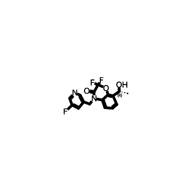 C[C@@H](O)c1cccc2c1OC(F)(F)C(=O)N2Cc1cncc(F)c1